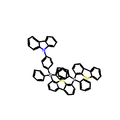 c1ccc([Si](c2ccccc2)(c2ccc(-n3c4ccccc4c4ccccc43)cc2)c2cccc3c2sc2c([Si](c4ccccc4)(c4ccccc4)c4cccc5c4sc4ccccc45)cccc23)cc1